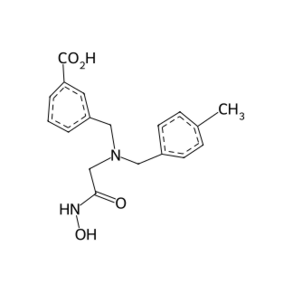 Cc1ccc(CN(CC(=O)NO)Cc2cccc(C(=O)O)c2)cc1